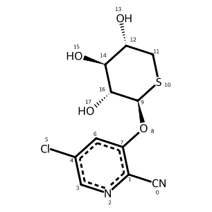 N#Cc1ncc(Cl)cc1O[C@@H]1SC[C@@H](O)[C@H](O)[C@H]1O